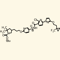 CC(C)(C)OC(=O)N1CC(CCCOc2ccc(S(=O)(=O)NC(=O)c3ccc(-n4ccc(OCCC5(C(F)(F)F)CC5)n4)nc3Cl)cn2)CC1(C)C